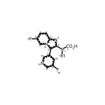 CCN(C(=O)O)c1nc2ccc(F)cn2c1-c1cncc(F)c1